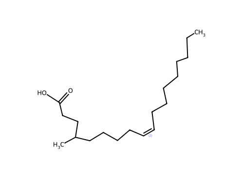 CCCCCCCC/C=C\CCCCC(C)CCC(=O)O